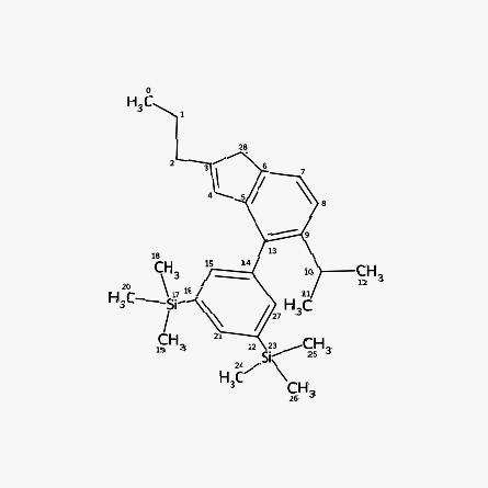 CCCC1=Cc2c(ccc(C(C)C)c2-c2cc([Si](C)(C)C)cc([Si](C)(C)C)c2)[CH]1